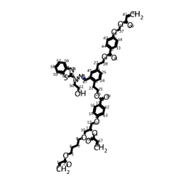 C=CC(=O)OCCCCOCC(COc1ccc(C(=O)OCCc2ccc(CCOC(=O)c3ccc(OCOC(=O)C=C)cc3)cc2/C=N/N(CCO)c2nc3ccccc3s2)cc1)OC(=O)C=C